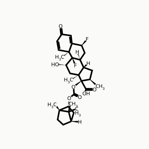 C[C@@H]1C[C@H]2[C@@H]3C[C@H](F)C4=CC(=O)C=C[C@]4(C)[C@@]3(F)[C@@H](O)C[C@]2(C)[C@@]1(OC(=O)O[C@@H]1C[C@@H]2CC[C@@]1(C)C2(C)C)C(=O)O